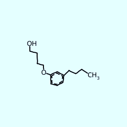 CCCCc1cccc(OCCCCO)c1